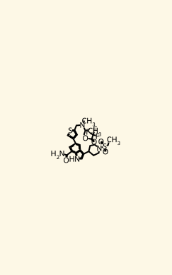 CCS(=O)(=O)N1CCC(c2c[nH]c3c(C(N)=O)cc(-c4csc(CN(C)[C@@H](C)COC(=O)C(F)(F)F)c4)cc23)CC1